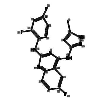 Cc1cc(Nc2nc(Nc3ccc(F)cc3F)nc3ccc(F)cc23)n[nH]1